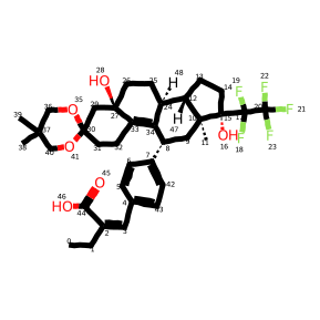 CCC(=Cc1ccc([C@H]2C[C@@]3(C)[C@@H](CC[C@@]3(O)C(F)(F)C(F)(F)F)[C@@H]3CC[C@@]4(O)CC5(CCC4=C32)OCC(C)(C)CO5)cc1)C(=O)O